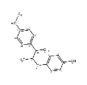 CC(Oc1ccc(O)cc1)C(C)c1ccc(OO)cc1